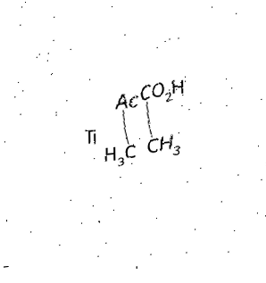 CC(=O)O.CC(C)=O.[Ti]